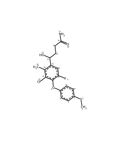 COc1ccc(Oc2c(F)cc(C(O)CCC(N)=O)c(C)c2Cl)cc1